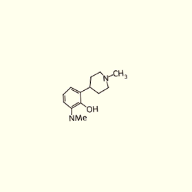 CNc1cccc(C2CCN(C)CC2)c1O